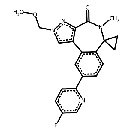 COCn1cc2c(n1)C(=O)N(C)C1(CC1)c1ccc(-c3ccc(F)cn3)cc1-2